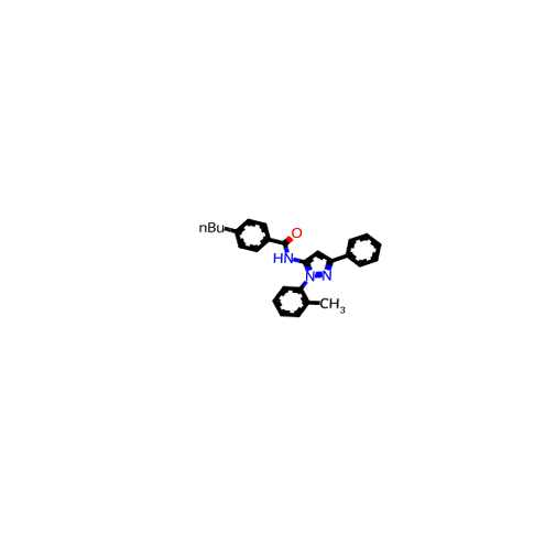 CCCCc1ccc(C(=O)Nc2cc(-c3ccccc3)nn2-c2ccccc2C)cc1